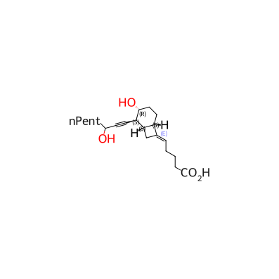 CCCCCC(O)C#C[C@@H]1[C@H]2C/C(=C\CCCC(=O)O)[C@H]2CC[C@H]1O